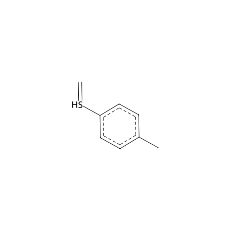 C=[SH]c1ccc(C)cc1